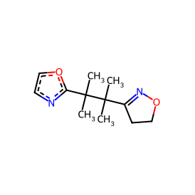 CC(C)(C1=NOCC1)C(C)(C)c1ncco1